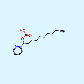 C#CCCCCCCCCC(OC(=O)O)c1ccccn1